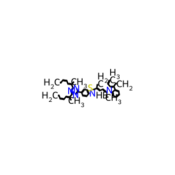 C=C/C=C\C=C(/C)c1nc(/C(C)=C/C=C\C=C)nc(-c2ccc3nc(/C(C=C)=C/C=C(\BC)n4c(/C=C\C)c(C=C)c5ccccc54)sc3c2)n1